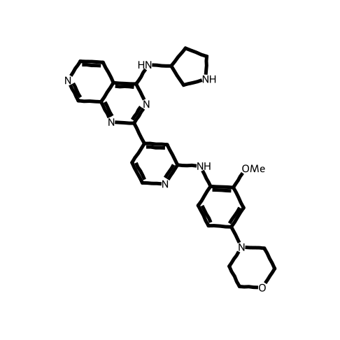 COc1cc(N2CCOCC2)ccc1Nc1cc(-c2nc(NC3CCNC3)c3ccncc3n2)ccn1